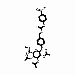 COC(=O)[C@H]1OC(Oc2ccc(COC(=O)Oc3ccc([N+](=O)[O-])cc3)cc2)[C@H](OC(C)=O)[C@@H](OC(C)=O)[C@@H]1OC(C)=O